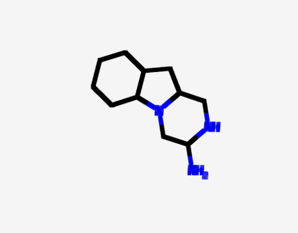 NC1CN2C(CN1)CC1CCCCC12